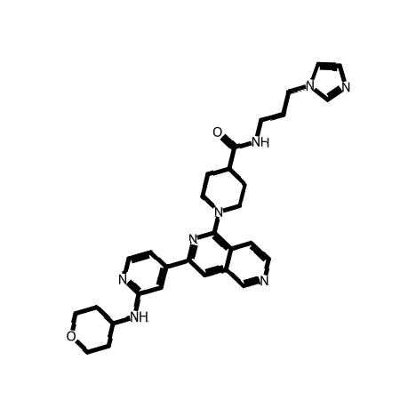 O=C(NCCCn1ccnc1)C1CCN(c2nc(-c3ccnc(NC4CCOCC4)c3)cc3cnccc23)CC1